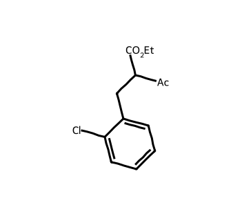 CCOC(=O)C(Cc1ccccc1Cl)C(C)=O